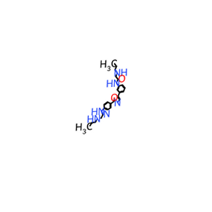 CCCNCC(=O)Nc1cccc(-c2cnc(-c3ccc4[nH]c(CNCCC)nc4c3)o2)c1